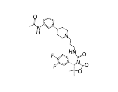 CC(=O)Nc1cccc(C2CCN(CCCNC(=O)N3C(=O)OC(C)(C)[C@@H]3c3ccc(F)c(F)c3)CC2)c1